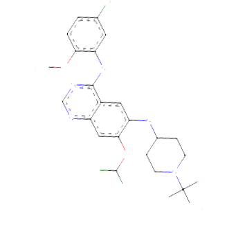 COc1ccc(Br)cc1Nc1ncnc2cc(OC(F)F)c(NC3CCN(C(C)(C)C)CC3)cc12